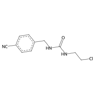 N#Cc1ccc(CNC(=O)NCCCl)cc1